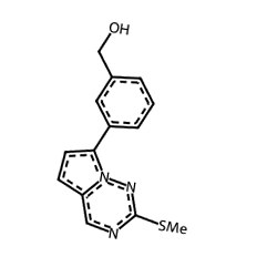 CSc1ncc2ccc(-c3cccc(CO)c3)n2n1